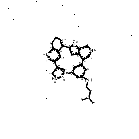 CN(C)CCNc1cc(F)cc(-c2cncc3[nH]c(C4=NCCc5ncc(-c6cn[nH]c6)cc54)cc23)c1